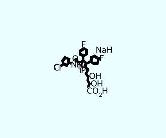 CC(C)n1c(CC[C@@H](O)C[C@@H](O)CC(=O)O)c(-c2ccc(F)cc2)c(-c2ccc(F)cc2)c1C(=O)Nc1cccc(Cl)c1.[NaH]